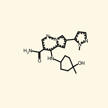 Cn1nccc1-c1cc2c(NC3CCC(C)(O)CC3)c(C(N)=O)cnn2c1